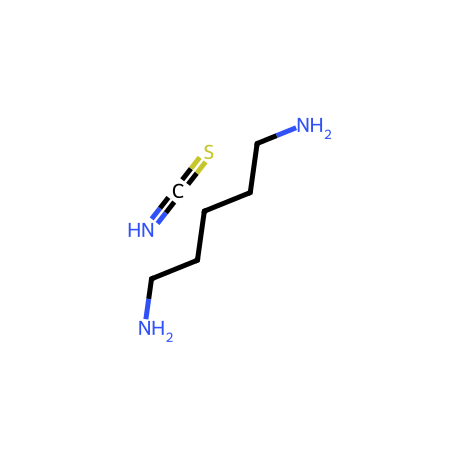 N=C=S.NCCCCCN